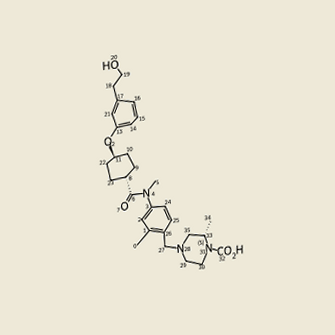 Cc1cc(N(C)C(=O)[C@H]2CC[C@H](Oc3cccc(CCO)c3)CC2)ccc1CN1CCN(C(=O)O)[C@@H](C)C1